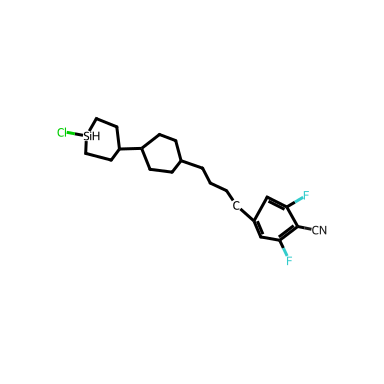 N#Cc1c(F)cc(CCCCC2CCC(C3CC[SiH](Cl)CC3)CC2)cc1F